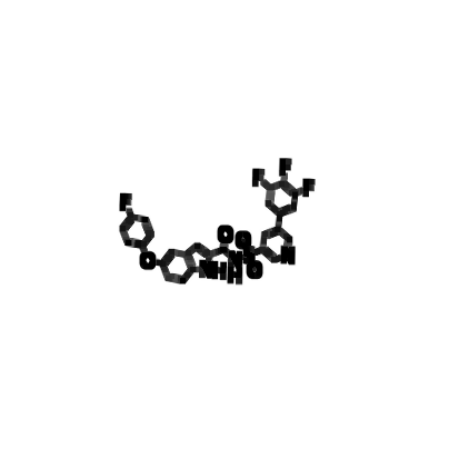 O=C(NS(=O)(=O)c1cncc(-c2cc(F)c(F)c(F)c2)c1)c1cc2cc(Oc3ccc(F)cc3)ccc2[nH]1